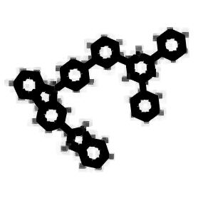 c1ccc(-c2nc(-c3ccccc3)nc(-c3cccc(-c4ccc(-n5c6ccccc6c6ccc(-c7nc8ccccc8s7)cc65)cc4)c3)n2)cc1